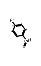 [CH]=[SH]c1ccc(F)cc1